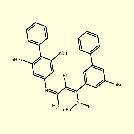 CCCCCCc1cc(N=C(C)C(CC)=[C](c2cc(CCCC)cc(-c3ccccc3)c2)[Ni]([Br])[CH2]CCC)cc(CCCC)c1-c1ccccc1